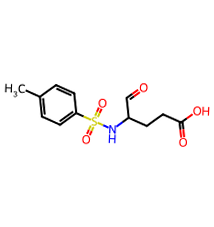 Cc1ccc(S(=O)(=O)NC(C=O)CCC(=O)O)cc1